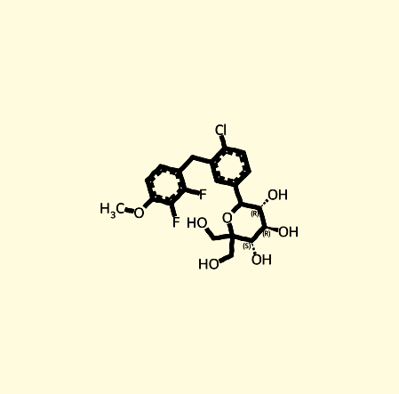 COc1ccc(Cc2cc(C3OC(CO)(CO)[C@@H](O)[C@H](O)[C@H]3O)ccc2Cl)c(F)c1F